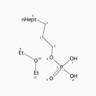 CCCCCCCCCCOP(=O)(O)O.CCOCC